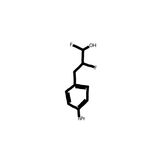 CCCc1ccc(CC(F)C(O)F)cc1